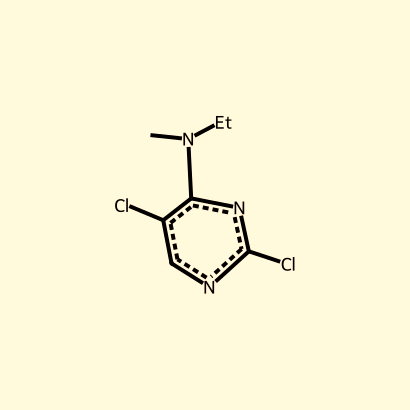 CCN(C)c1nc(Cl)ncc1Cl